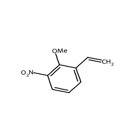 C=Cc1cccc([N+](=O)[O-])c1OC